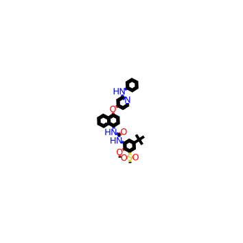 COc1c(NC(=O)Nc2ccc(Oc3ccnc(Nc4ccccc4)c3)c3ccccc23)cc(C(C)(C)C)cc1S(C)(=O)=O